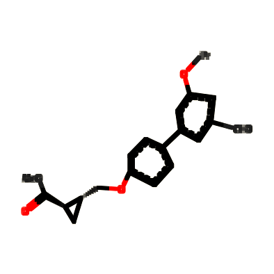 COC(=O)[C@@H]1C[C@H]1COc1ccc(-c2cc(C=O)cc(OC(C)C)c2)cc1